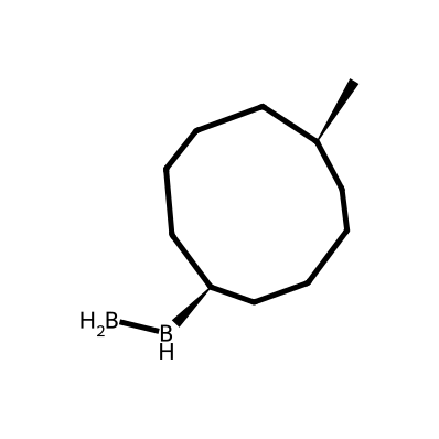 BB[C@H]1CCCC[C@@H](C)CCCC1